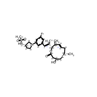 C/C(=C\c1cc(F)cc(N2CC[C@H](NS(C)(=O)=O)C2)c1)[C@H]1OC(=O)C[C@H](O)CC[C@@H](C)[CH]/C=C/[C@@H]1C